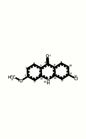 COc1ccc2c(=O)c3ccc(Cl)cc3[nH]c2c1